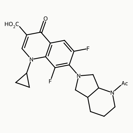 CC(=O)N1CCCC2CN(c3c(F)cc4c(=O)c(C(=O)O)cn(C5CC5)c4c3F)CC21